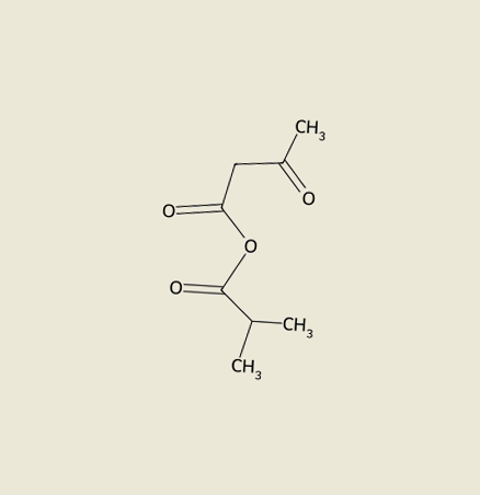 CC(=O)CC(=O)OC(=O)C(C)C